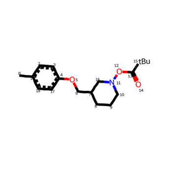 Cc1ccc(OCC2CCCN(OC(=O)C(C)(C)C)C2)cc1